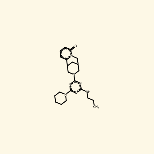 CCCNc1nc(N2CCCCC2)nc(N2CC3CC(C2)c2cccc(=O)n2C3)n1